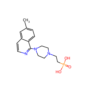 Cc1ccc2c(N3CCN(CCP(=O)(O)O)CC3)nccc2c1